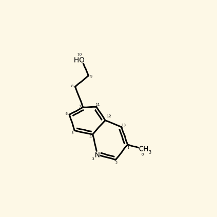 Cc1cnc2ccc(CCO)cc2c1